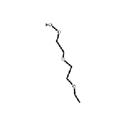 CCOCCOCCOO